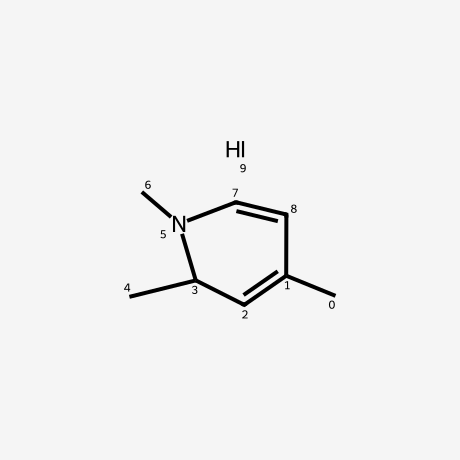 CC1=CC(C)N(C)C=C1.I